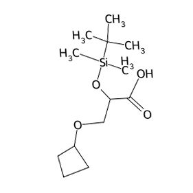 CC(C)(C)[Si](C)(C)OC(COC1CCC1)C(=O)O